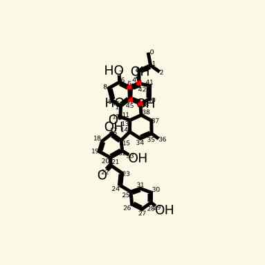 CC(C)=CCc1c(O)ccc(C(=O)C2C(c3c(O)ccc(C(=O)/C=C/c4ccc(O)cc4)c3O)C=C(C)CC2c2ccc(O)cc2O)c1O